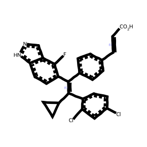 O=C(O)/C=C/c1ccc(/C(=C(\c2ccc(Cl)cc2Cl)C2CC2)c2ccc3[nH]ncc3c2F)cc1